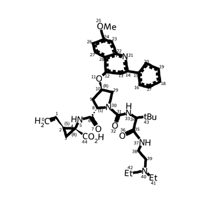 C=C[C@@H]1C[C@]1(NC(=O)[C@@H]1C[C@@H](Oc2cc(-c3ccccc3)nc3cc(OC)ccc23)CN1C(=O)NC(C(=O)NCCN(CC)CC)C(C)(C)C)C(=O)O